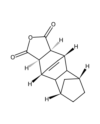 O=C1OC(=O)[C@H]2[C@@H]1[C@H]1C=C[C@@H]2C2C1[C@@H]1CC[C@H]2C1